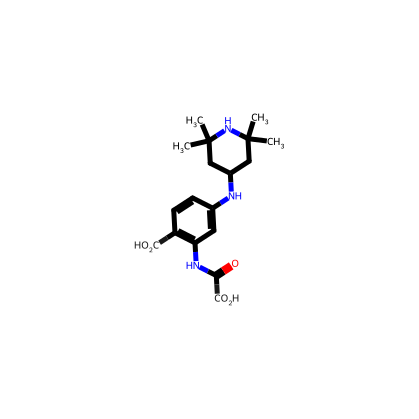 CC1(C)CC(Nc2ccc(C(=O)O)c(NC(=O)C(=O)O)c2)CC(C)(C)N1